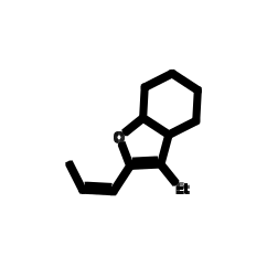 C/C=C\C1=C(CC)C2CCCCC2O1